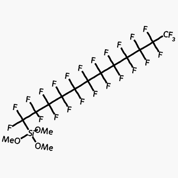 CO[Si](OC)(OC)C(F)(F)C(F)(F)C(F)(F)C(F)(F)C(F)(F)C(F)(F)C(F)(F)C(F)(F)C(F)(F)C(F)(F)C(F)(F)C(F)(F)F